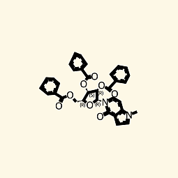 Cn1ccc2c(=O)n([C@@H]3O[C@H](COC(=O)c4ccccc4)[C@H](OC(=O)c4ccccc4)[C@H]3OC(=O)c3ccccc3)ccc21